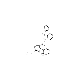 COc1ccc2c3c1O[C@H]1C[C@@H](O)C=C[C@@]31CCN(C(=O)O[Si](c1ccccc1)(c1ccccc1)C(C)(C)C)C2